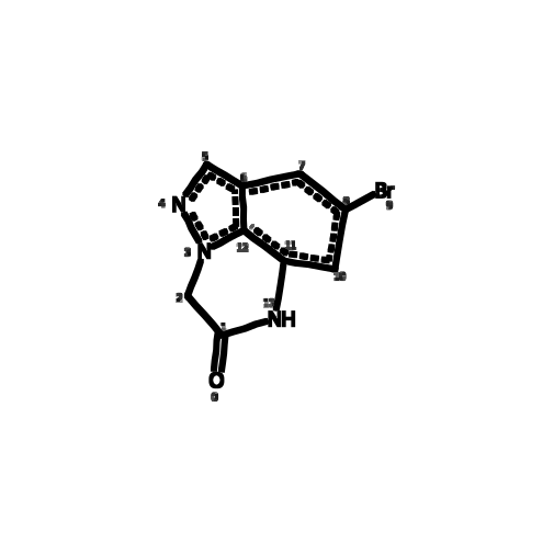 O=C1Cn2ncc3cc(Br)cc(c32)N1